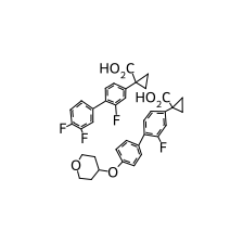 O=C(O)C1(c2ccc(-c3ccc(F)c(F)c3)c(F)c2)CC1.O=C(O)C1(c2ccc(-c3ccc(OC4CCOCC4)cc3)c(F)c2)CC1